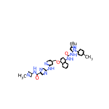 Cc1ccc(-n2nc(C(C)(C)C)cc2NC(=O)Nc2ccc(OCc3ccnc(Nc4cnc(C(=O)NC5CN(C)C5)cn4)c3)c3ccccc23)cc1